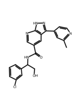 Cc1cc(-c2n[nH]c3ncc(C(=O)NC(CO)c4cccc(Cl)c4)cc23)ccn1